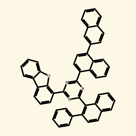 c1ccc(-c2ccc3ccccc3c2-c2nc(-c3ccc(-c4ccc5ccccc5c4)c4ccccc34)nc(-c3cccc4c3oc3ccccc34)n2)cc1